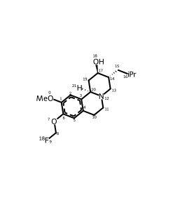 COc1cc2c(cc1OC[18F])CCN1C[C@@H](CC(C)C)[C@H](O)C[C@H]21